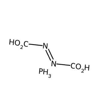 O=C(O)N=NC(=O)O.P